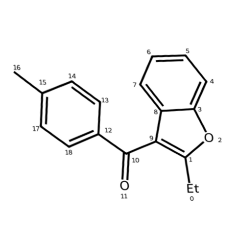 CCc1oc2ccccc2c1C(=O)c1ccc(C)cc1